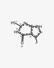 Cc1c[nH]c2nc(S)[nH]c(=O)c12